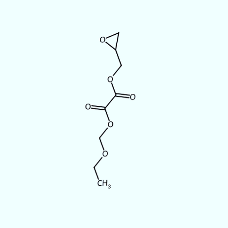 CCOCOC(=O)C(=O)OCC1CO1